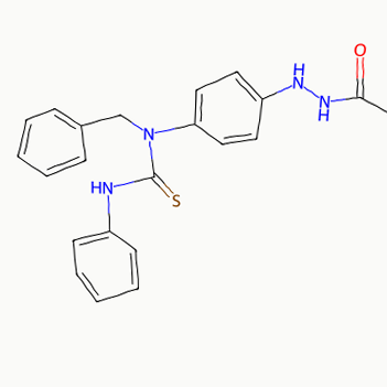 CC(=O)NNc1ccc(N(Cc2ccccc2)C(=S)Nc2ccccc2)cc1